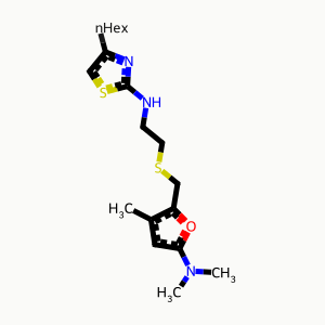 CCCCCCc1csc(NCCSCc2oc(N(C)C)cc2C)n1